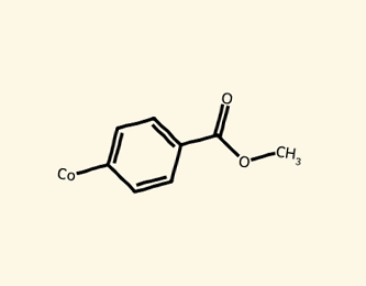 COC(=O)c1cc[c]([Co])cc1